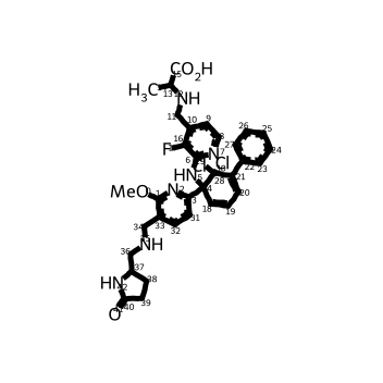 COc1nc(C2(Nc3nccc(CNC(C)C(=O)O)c3F)C=CC=C(c3ccccc3)C2(Cl)Cl)ccc1CNCC1CCC(=O)N1